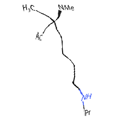 CN[C@@](C)(CCCCNC(C)C)C(C)=O